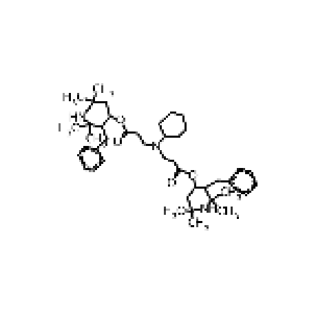 CC1(C)CC(OC(=O)CCN(CCC(=O)OC2CC(C)(C)NC(C)(C)C2Cc2ccccc2)C2CCCCC2)C(Cc2ccccc2)C(C)(C)N1